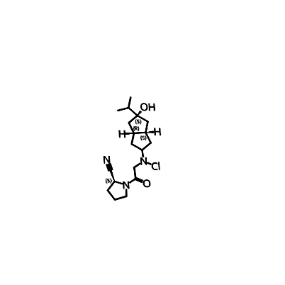 CC(C)[C@@]1(O)C[C@H]2CC(N(Cl)CC(=O)N3CCC[C@H]3C#N)C[C@H]2C1